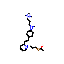 CC(=O)SCCC[N+]1=CC=CCC1/C=C/c1ccc(N(C)CCC[N+](C)(C)C)cc1